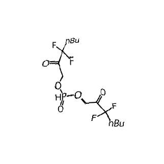 CCCCC(F)(F)C(=O)CO[PH](=O)OCC(=O)C(F)(F)CCCC